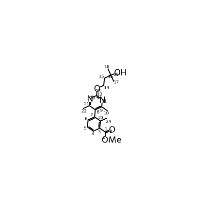 COC(=O)c1cccc(-c2c(C)nc(OCCC(C)(C)O)nc2C)c1C